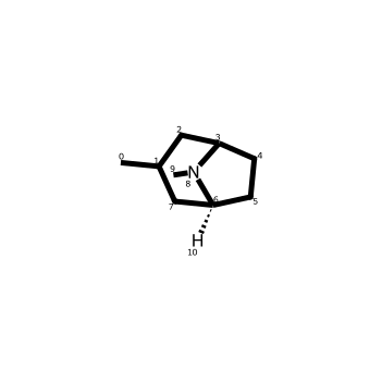 CC1CC2CC[C@@H](C1)N2C